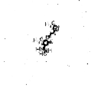 Cc1cc(CCCOc2c(C)cc(C(=N)NO)cc2F)on1